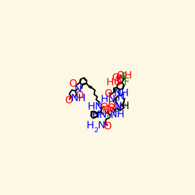 CN1CC[C@H]2CC[C@@H](C(=O)N[C@@H](CCC(N)=O)C(=O)N[C@H](C(=O)NCCCCCC#Cc3cccc4c3CN(C3CCC(=O)NC3=O)C4=O)c3ccccc3)N2C(=O)[C@@H](NC(=O)c2cc3cc(C(F)(F)P(=O)(O)O)ccc3[nH]2)C1